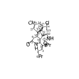 CC(C)C/C=C(/C(C)C)[C@H]1NC(=O)C[C@@H](c2cccc(Cl)c2)[C@]12C(=O)Nc1cc(Cl)ccc12